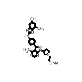 COCCN1CCC(N2NC(c3ccc(Nc4nc5cc(C)cc(C)c5o4)cc3)c3c(N)ncnc32)C1